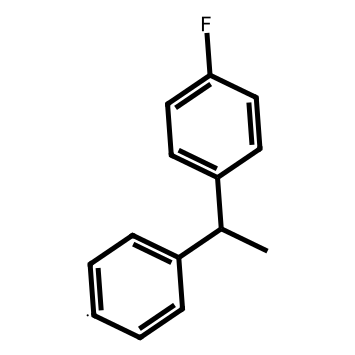 CC(c1cc[c]cc1)c1ccc(F)cc1